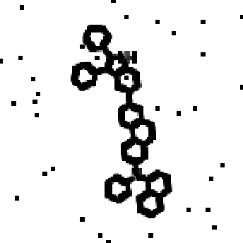 c1ccc(-c2[nH]c3ccc(-c4ccc5c(ccc6cc(N(c7ccccc7)c7cccc8ccccc78)ccc65)c4)cc3c2-c2ccccc2)cc1